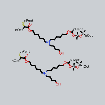 CCCCCCCCC(SCCCCC)C(=O)OCCCCCCN(CCCCO)CCCCCCOC(CCCCCCC)O[Si](C)(C)O[Si](C)(C)CCCCCCCC.CCCCCCCCC(SCCCCC)C(=O)OCCCCCCN(CCCCO)CCCCCCOC(CCCCCCC)O[Si](C)(C)O[Si](C)(C)CCCCCCCC